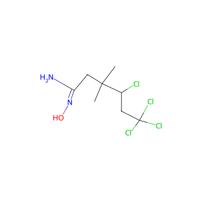 CC(C)(CC(N)=NO)C(Cl)CC(Cl)(Cl)Cl